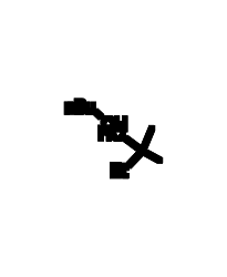 CCC(C)(C)O.CCCCO